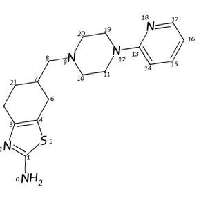 Nc1nc2c(s1)CC(CN1CCN(c3ccccn3)CC1)CC2